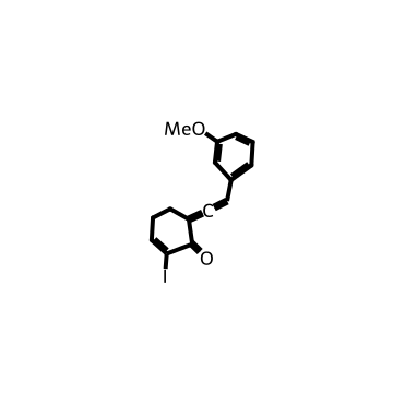 COc1cccc(C=C=C2CCC=C(I)C2=O)c1